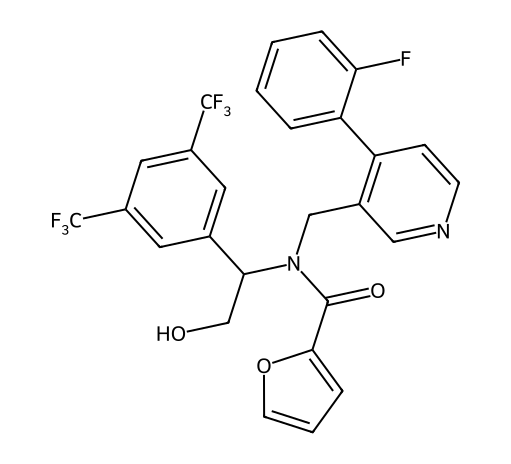 O=C(c1ccco1)N(Cc1cnccc1-c1ccccc1F)C(CO)c1cc(C(F)(F)F)cc(C(F)(F)F)c1